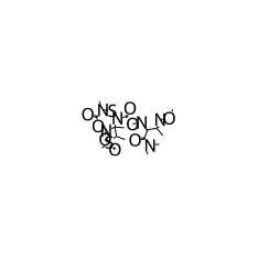 CON=C(C)C(=NOC(=O)N1SN(C)C(=O)ON(C)C1(C)C(C)S(C)(=O)=O)C(=O)N(C)C